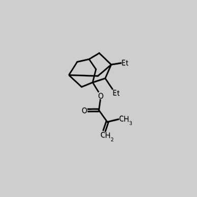 C=C(C)C(=O)OC12CC3CC(CC(CC)(C3)C1CC)C2